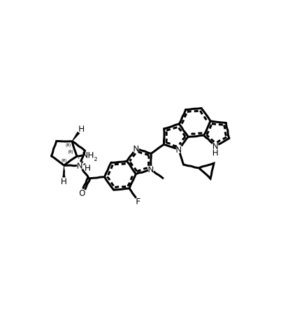 Cn1c(-c2cc3ccc4cc[nH]c4c3n2CC2CC2)nc2cc(C(=O)N3C[C@H]4CC[C@@H]3[C@@H]4N)cc(F)c21